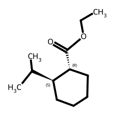 CCOC(=O)[C@@H]1CCCC[C@H]1C(C)C